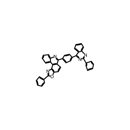 c1ccc(-c2nc(-c3ccc(-c4nc5ccccc5c5c4ccc4oc(-c6ccccc6)nc45)cc3)c3ccccc3n2)cc1